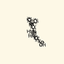 C[C@H](NC(=O)c1ccc2c(C3CCCCC3)n(-c3ccccc3)nc2c1)C(=O)Nc1ccc(C=CC(=O)O)cc1